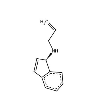 C=CCN[C@@H]1C=Cc2ccccc21